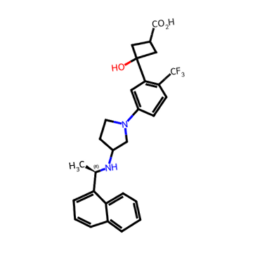 C[C@@H](NC1CCN(c2ccc(C(F)(F)F)c(C3(O)CC(C(=O)O)C3)c2)C1)c1cccc2ccccc12